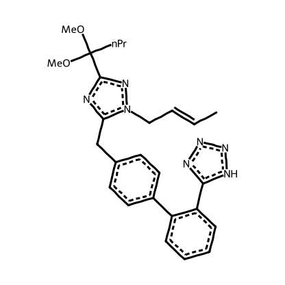 CC=CCn1nc(C(CCC)(OC)OC)nc1Cc1ccc(-c2ccccc2-c2nnn[nH]2)cc1